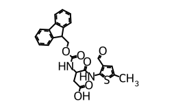 Cc1cc(C=O)c(NC(=O)C(CC(=O)O)NC(=O)OCC2c3ccccc3-c3ccccc32)s1